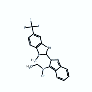 CC[S+]([O-])c1c2ccccc2nn1C1Nc2cc(C(F)(F)F)cnc2N1C